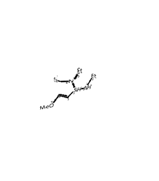 CCN[SiH](C=COC)N(CC)CC